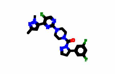 Cc1cc(-c2nc(N3CCN(C(=O)N4N=CCC4c4cc(F)cc(F)c4)CC3)ncc2F)n(C)n1